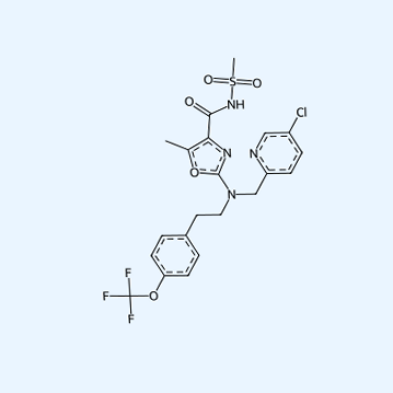 Cc1oc(N(CCc2ccc(OC(F)(F)F)cc2)Cc2ccc(Cl)cn2)nc1C(=O)NS(C)(=O)=O